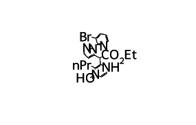 CCCC1=C(C(C(=O)OCC)c2ccnn2-c2ncccc2Br)NC=CN1O